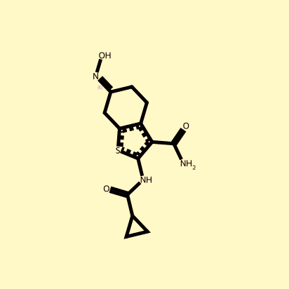 NC(=O)c1c(NC(=O)C2CC2)sc2c1CC/C(=N\O)C2